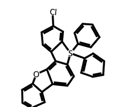 Clc1ccc2c(c1)S(c1ccccc1)(c1ccccc1)c1ccc3c(oc4ccccc43)c1-2